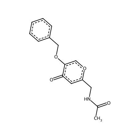 CC(=O)NCc1cc(=O)c(OCc2ccccc2)co1